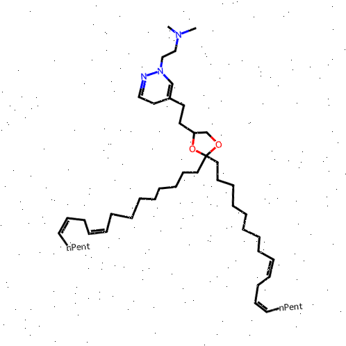 CCCCC/C=C\C/C=C\CCCCCCCCC1(CCCCCCCC/C=C\C/C=C\CCCCC)OCC(CCC2=CN(CCN(C)C)N=CC2)O1